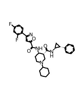 O=C(N[C@@H]1CCN(C2CCCCC2)C[C@H]1C(=O)N[C@H]1C[C@@H]1c1ccccc1)c1cc(-c2ccc(F)cc2F)no1